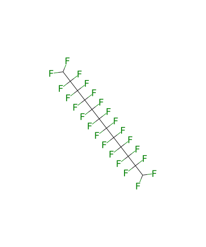 FC(F)C(F)(F)C(F)(F)C(F)(F)C(F)(F)C(F)(F)C(F)(F)C(F)(F)C(F)(F)C(F)(F)C(F)(F)C(F)F